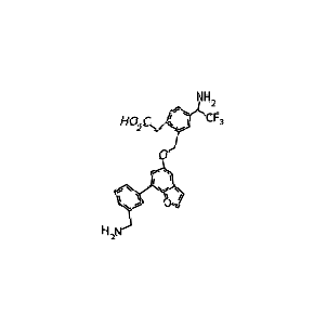 NCc1cccc(-c2cc(OCc3cc(C(N)C(F)(F)F)ccc3CC(=O)O)cc3ccoc23)c1